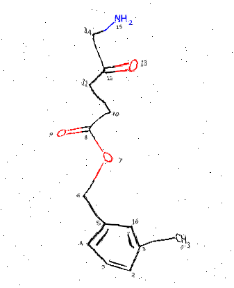 Cc1cccc(COC(=O)CCC(=O)CN)c1